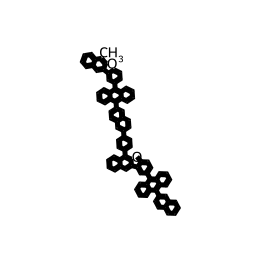 Cc1c2ccccc2cc2c1oc1ccc(-c3c4ccccc4c(-c4ccc5cc(-c6ccc(-c7c8ccccc8cc8c7oc7ccc(-c9c%10ccccc%10c(-c%10ccc%11ccccc%11c%10)c%10ccccc9%10)cc78)cc6)ccc5c4)c4ccccc34)cc12